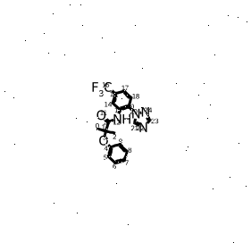 CC(C)(Oc1ccccc1)C(=O)Nc1cc(C(F)(F)F)ccc1-n1cncn1